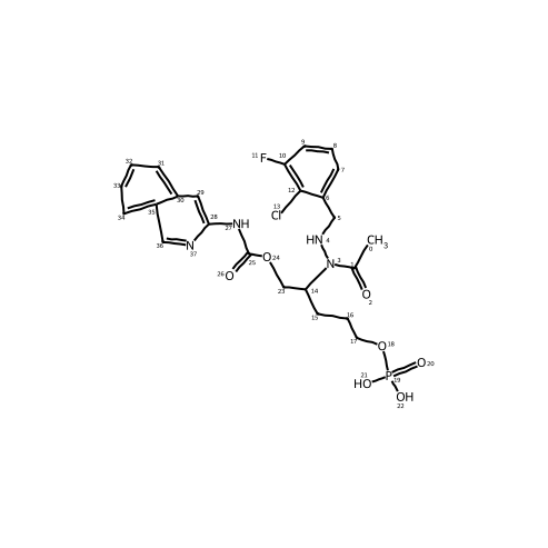 CC(=O)N(NCc1cccc(F)c1Cl)C(CCCOP(=O)(O)O)COC(=O)Nc1cc2ccccc2cn1